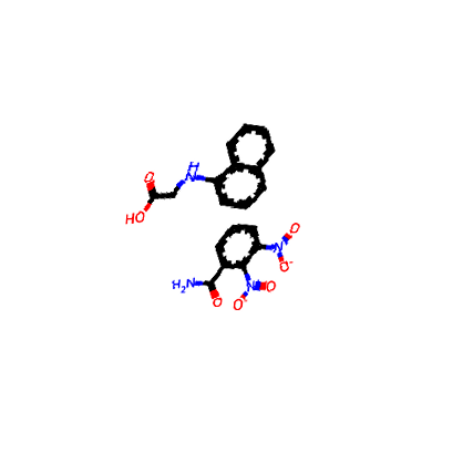 NC(=O)c1cccc([N+](=O)[O-])c1[N+](=O)[O-].O=C(O)CNc1cccc2ccccc12